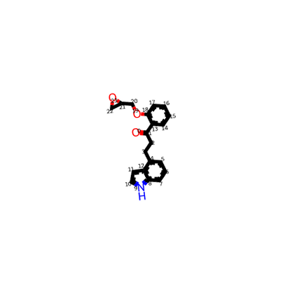 O=C(CCc1cccc2[nH]ccc12)c1ccccc1OCC1CO1